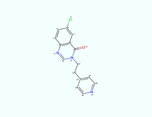 O=c1c2cc(Cl)ccc2ncn1CCc1ccncc1